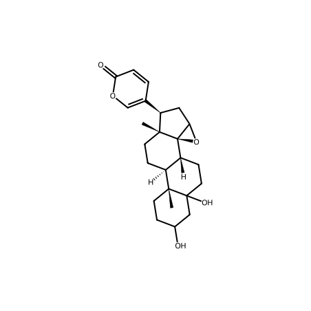 C[C@]12CCC(O)CC1(O)CC[C@@H]1[C@@H]2CC[C@]2(C)[C@@H](c3ccc(=O)oc3)CC3O[C@@]312